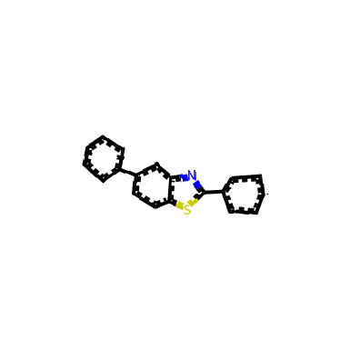 [c]1ccc(-c2nc3cc(-c4ccccc4)ccc3s2)cc1